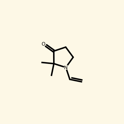 C=CN1CCC(=O)C1(C)C